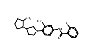 Cc1cc(NC(=O)c2ccccc2F)ccc1N1CCC(N2CCCC2C)C1